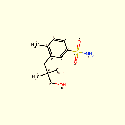 Cc1ccc(S(N)(=O)=O)cc1CC(C)(C)CO